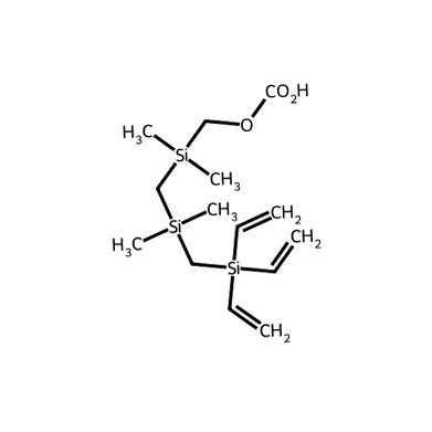 C=C[Si](C=C)(C=C)C[Si](C)(C)C[Si](C)(C)COC(=O)O